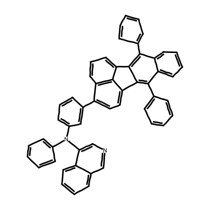 c1ccc(-c2c3c(c(-c4ccccc4)c4ccccc24)-c2ccc(-c4cccc(N(c5ccccc5)c5cncc6ccccc56)c4)c4cccc-3c24)cc1